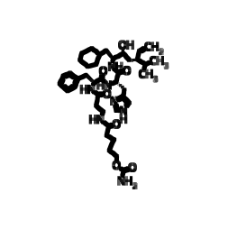 C=C[C@@H](C[C@@H](O)[C@H](CC1CCCCC1)NC(=O)[C@H](Cc1c[nH]cn1)NC(=O)[C@H](Cc1ccccc1)NC(=O)CCNC(=O)CCCCOC(N)=O)C(C)C